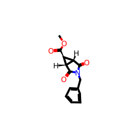 COC(=O)[C@@H]1[C@H]2C(=O)N(Cc3ccccc3)C(=O)[C@@H]12